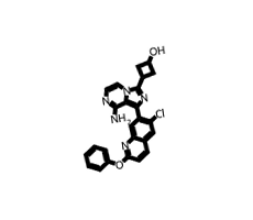 Nc1nccn2c(C3CC(O)C3)nc(-c3cc4nc(Oc5ccccc5)ccc4cc3Cl)c12